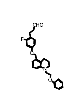 O=CCCc1ccc(OCc2cccc3c2CCCN3CCOc2ccccc2)cc1F